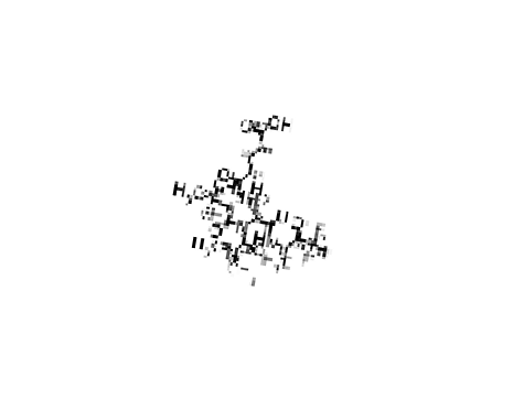 CC(NC(=O)C(C)N(C(=O)[C@@H](NC(=O)CCCC(=O)O)C(C)(C)C)C(=O)N(C)C)C(=O)C(F)(F)F